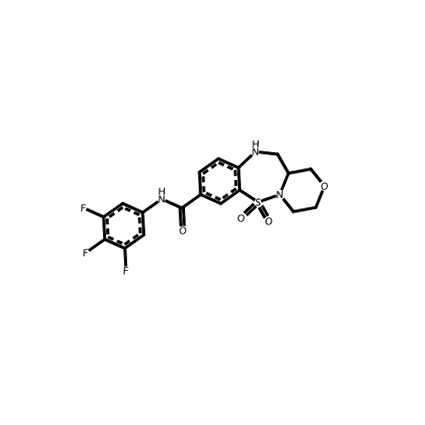 O=C(Nc1cc(F)c(F)c(F)c1)c1ccc2c(c1)S(=O)(=O)N1CCOCC1CN2